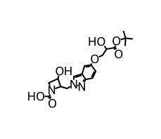 CC(C)(C)OC(=O)C(O)COc1ccc2nn(CC3C(O)CN3C(=O)O)cc2c1